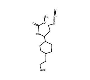 CC(=O)OCCC1CCC(C(CCN=[N+]=[N-])NC(=O)OC(C)(C)C)CC1